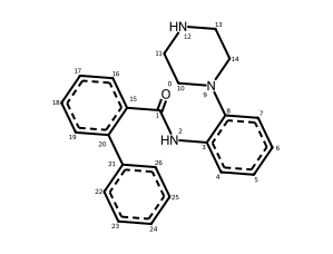 O=C(Nc1ccccc1N1CCNCC1)c1ccccc1-c1ccccc1